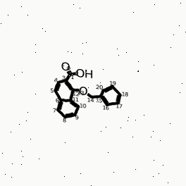 O=C(O)c1ccc2ccccc2c1OCc1ccccc1